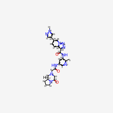 Cc1ncc(NC(=O)CN2CC(=O)N3CCC[C@H]3C2)cc1NC(=O)c1nnn2cc(-c3cnn(C)c3)ccc12